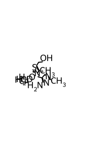 Cc1ncc(C[n+]2csc(CCO)c2C)c(N)n1.Cl.O.O.[Cl-]